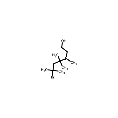 CN(CCO)C(C)(C)CC(C)(C)Br